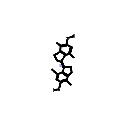 Cc1cc(SI)c(C)c2c1/C(=C1\CCc3c(C)c(SI)cc(C)c31)CC2